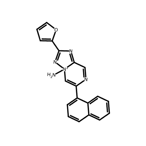 N[N+]12C=C(c3cccc4ccccc34)N=CC1=NC(c1ccco1)=N2